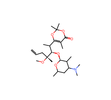 C=CC[C@@](C)(OC)[C@H](O[C@@H]1OC(C)CC(N(C)C)C1C)C(C)C1=C(C)C(=O)OC(C)(C)O1